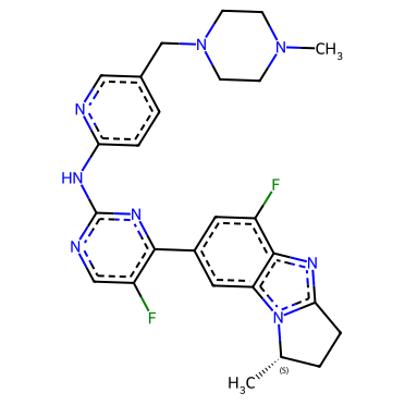 C[C@H]1CCc2nc3c(F)cc(-c4nc(Nc5ccc(CN6CCN(C)CC6)cn5)ncc4F)cc3n21